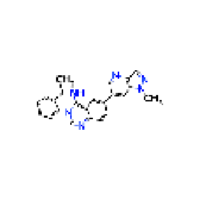 CC(Nc1ncnc2ccc(-c3cnc4cnn(C)c4c3)cc12)c1ccccc1